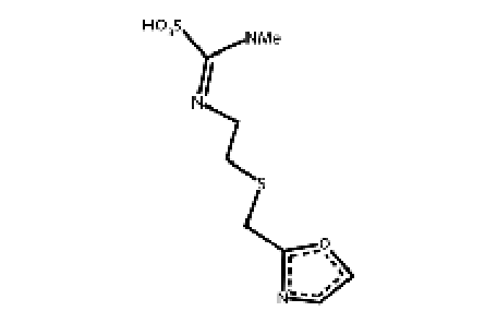 CN/C(=N\CCSCc1ncco1)S(=O)(=O)O